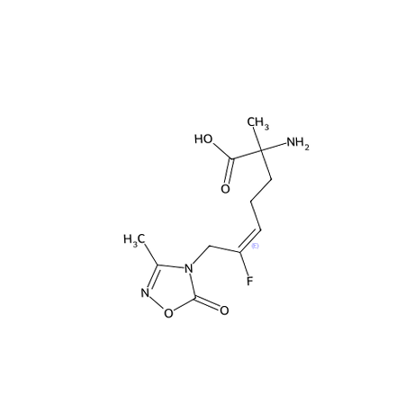 Cc1noc(=O)n1C/C(F)=C\CCC(C)(N)C(=O)O